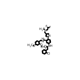 COc1ccc(CNSc2cc(NC(=O)Cc3ccccc3Cl)ccc2-n2cc(CN(C)CC(F)F)cn2)c(OC)c1